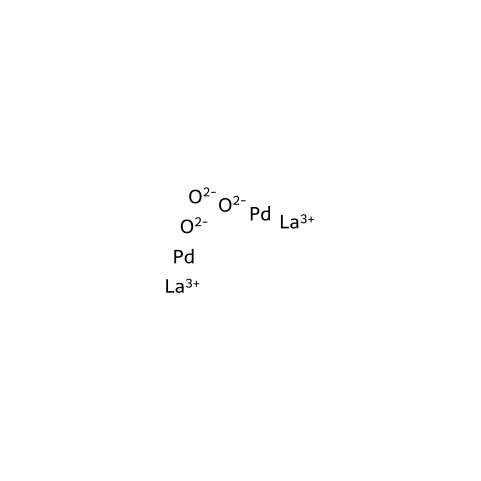 [La+3].[La+3].[O-2].[O-2].[O-2].[Pd].[Pd]